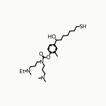 CCN(C)CCCN(CCCN(C)C)C(=O)Oc1ccc(C(O)CCCCCCS)cc1C